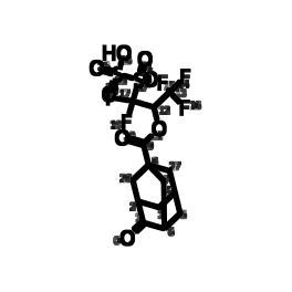 O=C1C2CC3CC1CC(C(=O)OC(C(F)(F)F)C(F)(F)S(=O)(=O)S(=O)(=O)O)(C3)C2